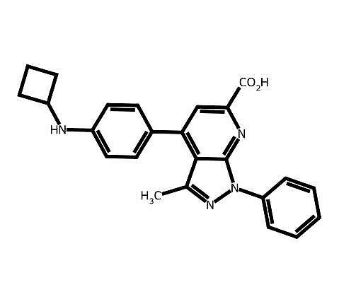 Cc1nn(-c2ccccc2)c2nc(C(=O)O)cc(-c3ccc(NC4CCC4)cc3)c12